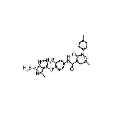 Bc1cc(NC(=O)c2cc(C)nn(-c3ccc(C)cc3)c2=O)ccc1Oc1ccnc2c1c(C)nn2B